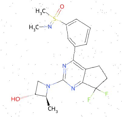 CN=S(C)(=O)c1cccc(-c2nc(N3C[C@@H](O)[C@@H]3C)nc3c2CCC3(F)F)c1